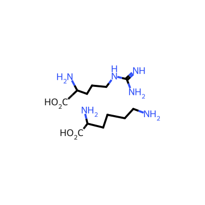 N=C(N)NCCCC(N)C(=O)O.NCCCCC(N)C(=O)O